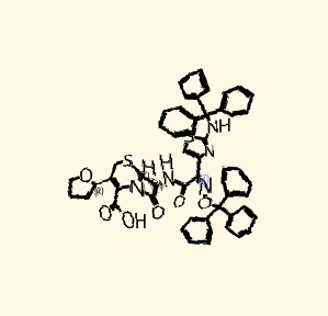 O=C(O)C1=C([C@H]2CCCO2)CS[C@@H]2[C@H](NC(=O)/C(=N\OC(c3ccccc3)(c3ccccc3)c3ccccc3)c3csc(NC(c4ccccc4)(c4ccccc4)c4ccccc4)n3)C(=O)N12